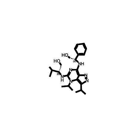 CC(C)c1nnc2c(N[C@H](CO)c3ccccc3)nc(N[C@@H](CO)C(C)C)n(C(C)C)c1-2